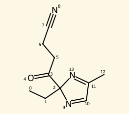 CCC1(C(=O)CCC#N)N=CC(C)=N1